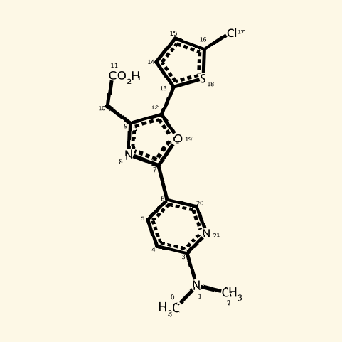 CN(C)c1ccc(-c2nc(CC(=O)O)c(-c3ccc(Cl)s3)o2)cn1